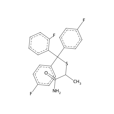 CC(SC(c1ccc(F)cc1)(c1ccc(F)cc1)c1ccccc1F)C(N)=O